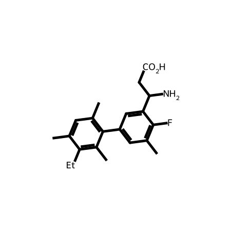 CCc1c(C)cc(C)c(-c2cc(C)c(F)c(C(N)CC(=O)O)c2)c1C